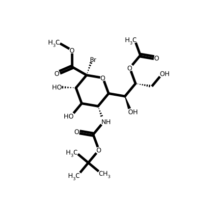 COC(=O)[C@@]1(Br)OC([C@H](O)[C@@H](CO)OC(C)=O)[C@H](NC(=O)OC(C)(C)C)C(O)[C@@H]1O